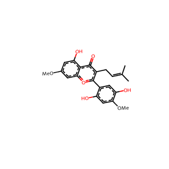 COc1cc(O)c2c(=O)c(CC=C(C)C)c(-c3cc(O)c(OC)cc3O)oc2c1